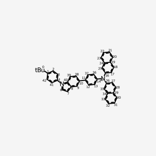 CC(C)(C)c1ccc(-n2ccc3cc(-c4ccc(N(c5ccc6ccccc6c5)c5ccc6ccccc6c5)cc4)ccc32)cc1